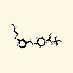 COCCOc1cc(COC2CCN(C(=O)OC(C)(C)C)CC2)ccn1